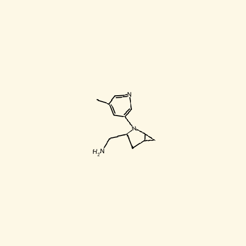 Cc1cncc(N2C(CN)CC3CC32)c1